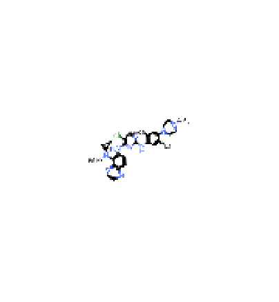 CCc1cc(Nc2ncc(Cl)c(Nc3ccc4nccnc4c3N(SC)C3CC3)n2)c(OC)cc1N1CCN(C)CC1